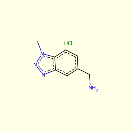 Cl.Cn1nnc2cc(CN)ccc21